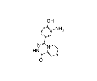 Nc1cc(C2=NNC(=O)C3=CSCCN32)ccc1O